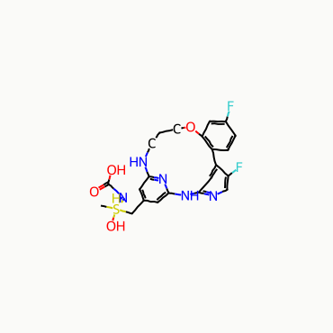 C[SH](O)(Cc1cc2nc(c1)Nc1cc(c(F)cn1)-c1ccc(F)cc1OCCCN2)=NC(=O)O